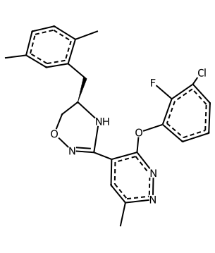 Cc1ccc(C)c(C[C@@H]2CON=C(c3cc(C)nnc3Oc3cccc(Cl)c3F)N2)c1